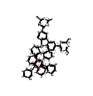 Cc1nc(C)nc(-c2ccc3c(c2)c2cc(-c4nc(C)nc(C)n4)ccc2n3-c2cccc(-c3cc(-c4ccccc4)nc(-c4ccccc4)n3)c2-c2ccccc2-n2c3ccccc3c3ccccc32)n1